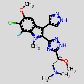 COc1cc2c(-c3cn[nH]c3)c(-c3n[nH]c([C@@H](CN(C)C)OC)n3)n(C)c2c(F)c1Cl